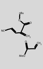 C=C(C=CC#N)C(=O)OCCCC.C=CC(=O)OC